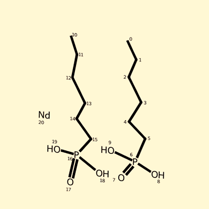 CCCCCCP(=O)(O)O.CCCCCCP(=O)(O)O.[Nd]